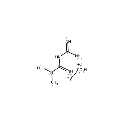 CC(=O)O.CN(C)C(=N)NC(=N)N.Cl